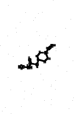 CNC(=O)OC1CCN(C#N)CC1